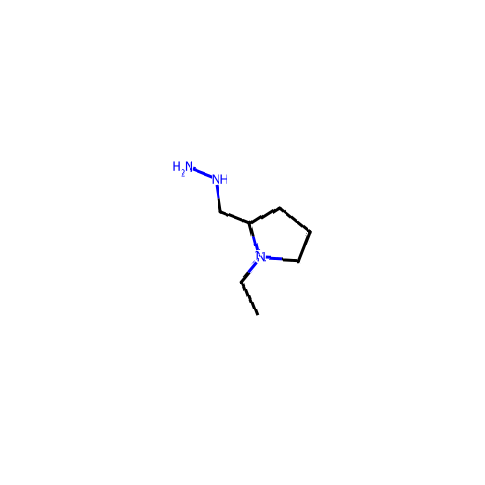 CCN1CCCC1CNN